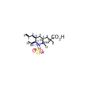 C=C/C=C1/C[C@@H](CC(C)(C)C(=O)O)[C@@H](C)N([SH](=O)=O)/C1=C/C